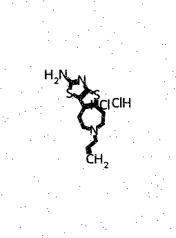 C=CCN1CCc2sc3nc(N)sc3c2CC1.Cl.Cl